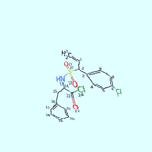 C=CC(c1ccc(Cl)cc1)S(=O)(=O)NC(Cc1ccccc1)C(=O)Cl